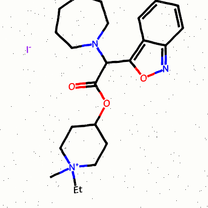 CC[N+]1(C)CCC(OC(=O)C(c2onc3ccccc23)N2CCCCCC2)CC1.[I-]